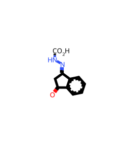 O=C(O)NN=C1CC(=O)c2ccccc21